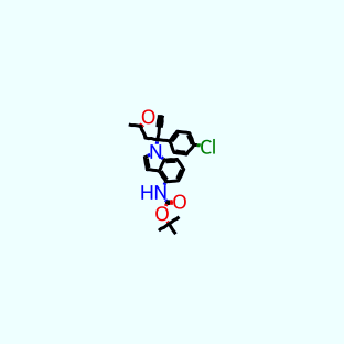 C#CC(CC(C)=O)(c1ccc(Cl)cc1)n1ccc2c(NC(=O)OC(C)(C)C)cccc21